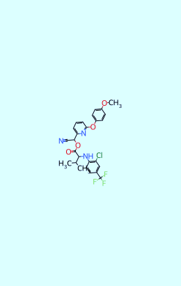 COc1ccc(Oc2cccc(C(C#N)OC(=O)C(Nc3ccc(C(F)(F)F)cc3Cl)C(C)C)n2)cc1